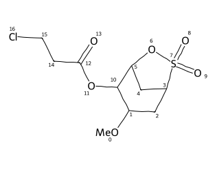 COC1CC2CC(OS2(=O)=O)C1OC(=O)CCCl